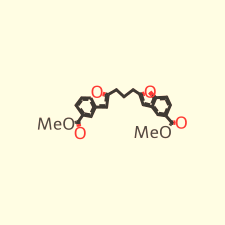 COC(=O)c1ccc2oc(CCCc3cc4cc(C(=O)OC)ccc4o3)cc2c1